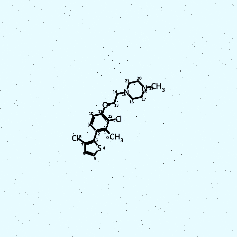 Cc1c(-c2sccc2Cl)ccc(OCCN2CCN(C)CC2)c1Cl